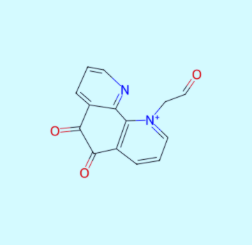 O=CC[n+]1cccc2c1-c1ncccc1C(=O)C2=O